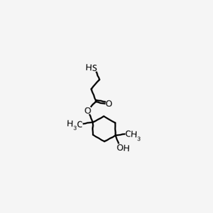 CC1(O)CCC(C)(OC(=O)CCS)CC1